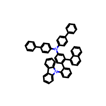 c1ccc(-c2ccc(N(c3ccc(-c4ccccc4)cc3)c3ccc(-c4ccccc4-n4c5ccccc5c5ccccc54)c(-c4cccc5ccccc45)c3)cc2)cc1